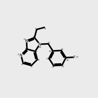 CCc1nc2ncccc2n1Cc1cccc(F)c1